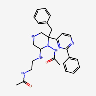 CC(=O)NCCNC1CNCC(Cc2ccccc2)(c2ccnc(-c3ccccc3)n2)N1NC(C)=O